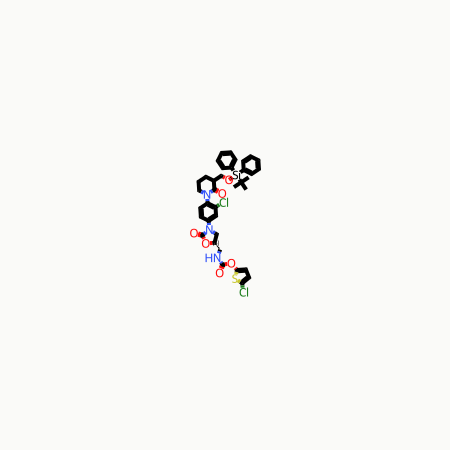 CC(C)(C)[Si](OCC1CCCN(c2ccc(N3C[C@H](CNC(=O)Oc4ccc(Cl)s4)OC3=O)cc2Cl)C1=O)(c1ccccc1)c1ccccc1